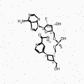 NC(=O)c1cc([C@@H]2C[C@H](CO)[C@H]2COP(O)(=S)OC[C@H]2O[C@@H](n3cnc4c(N)ncnc43)[C@H](F)[C@@H]2O)ccn1